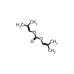 CC(C)=COC(=O)OC=C(C)C